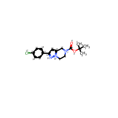 CC(C)(C)OC(=O)N1CCn2nc(-c3ccc(Cl)cc3)cc2C1